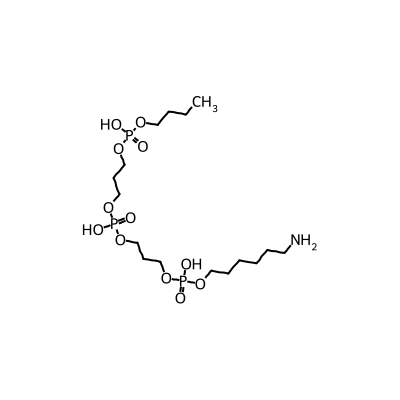 CCCCOP(=O)(O)OCCCOP(=O)(O)OCCCOP(=O)(O)OCCCCCCN